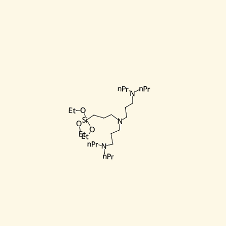 CCCN(CCC)CCCN(CCCN(CCC)CCC)CCC[Si](OCC)(OCC)OCC